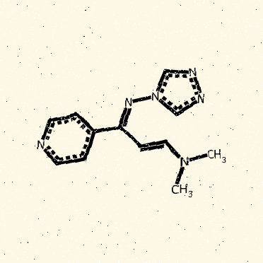 CN(C)C=CC(=Nn1cnnc1)c1ccncc1